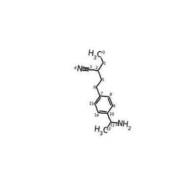 CCC(C#N)CCc1ccc(C(C)N)cc1